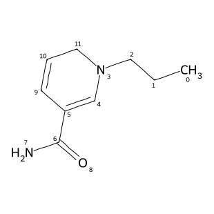 CCCN1C=C(C(N)=O)C=CC1